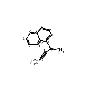 CC#CC(C)c1cccc2ccccc12